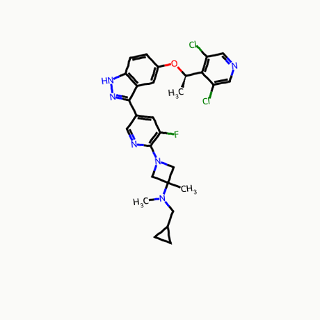 C[C@@H](Oc1ccc2[nH]nc(-c3cnc(N4CC(C)(N(C)CC5CC5)C4)c(F)c3)c2c1)c1c(Cl)cncc1Cl